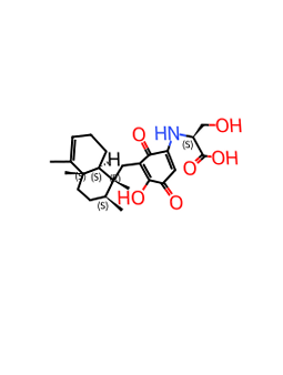 CC1=CCC[C@H]2[C@](C)(CC3=C(O)C(=O)C=C(N[C@@H](CO)C(=O)O)C3=O)[C@@H](C)CC[C@]12C